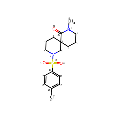 CN1CCCC2(CCCN(S(=O)(=O)c3ccc(C(F)(F)F)cc3)C2)C1=O